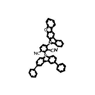 N#Cc1ccc(-n2c3ccccc3c3cc4c(cc32)oc2ccccc24)c(C#N)c1-n1c2ccc(-c3ccccc3)cc2c2cc(-c3ccccc3)ccc21